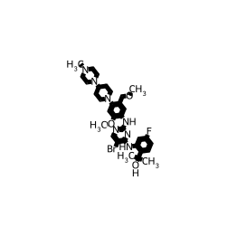 COCc1cc(Nc2ncc(Br)c(Nc3cc(F)ccc3C(C)(C)O)n2)c(OC)cc1N1CCC(N2CCN(C)CC2)CC1